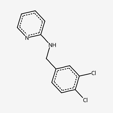 Clc1ccc(CNc2ccccn2)cc1Cl